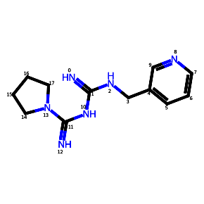 N=C(NCc1cccnc1)NC(=N)N1CCCC1